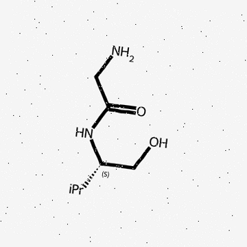 CC(C)[C@@H](CO)NC(=O)CN